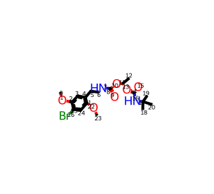 COc1cc(CCNC(=O)OC(C)OC(=O)NC(C)(C)C)c(OC)cc1Br